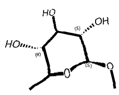 CO[C@H]1OC(C)[C@H](O)C(O)[C@@H]1O